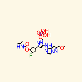 COCc1cc2c(Nc3cc([C@H]4C[C@@H](F)[C@@H](OC(=O)NC(C)C)C4)nn3COP(=O)(O)O)nccn2n1